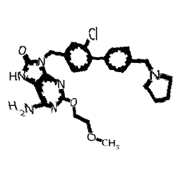 COCCOc1nc(N)c2[nH]c(=O)n(Cc3ccc(-c4ccc(CN5CCCC5)cc4)c(Cl)c3)c2n1